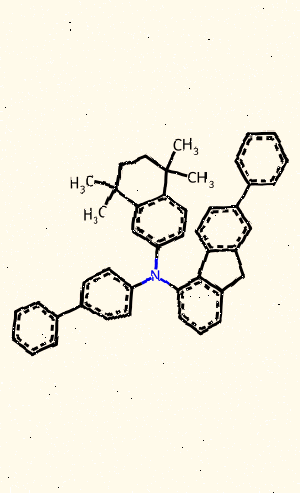 CC1(C)CCC(C)(C)c2cc(N(c3ccc(-c4ccccc4)cc3)c3cccc4c3-c3ccc(-c5ccccc5)cc3C4)ccc21